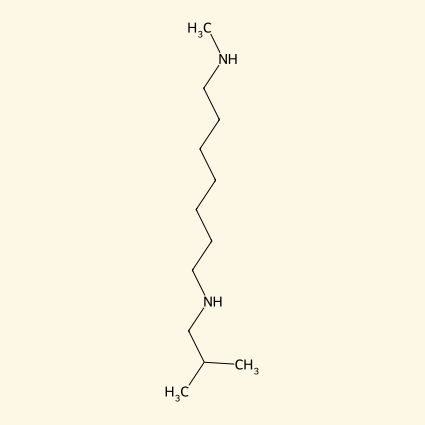 CNCCCCCCCNCC(C)C